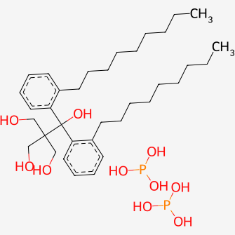 CCCCCCCCCc1ccccc1C(O)(c1ccccc1CCCCCCCCC)C(CO)(CO)CO.OP(O)O.OP(O)O